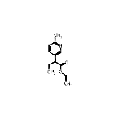 CCOC(=O)C(CC)c1ccc(N)nc1